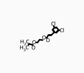 C=C(C)C(=O)OCCCOC(=O)/C=C/c1cc(Cl)cc(Cl)c1